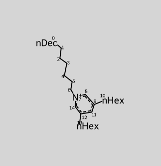 CCCCCCCCCCCCCCCC[n+]1cc(CCCCCC)cc(CCCCCC)c1